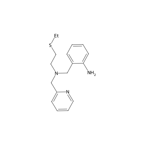 CCSCCN(Cc1ccccn1)Cc1ccccc1N